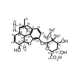 [2H]O[C@]1([2H])[C@@H](O)[C@H](O)[C@@H](C(=O)O)O[C@@]1([2H])Oc1ccc2c3c1O[C@H]1[C@@H](O)C=C[C@H]4[C@@H](C2)N(C)CC[C@@]341